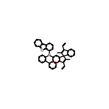 C=CC1=C(C)C2(C(C)=C(C=C)c3ccc(N(c4ccccc4-c4ccccc4)c4cccc5c4oc4ccccc45)cc32)c2ccccc21